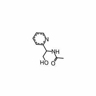 CC(=O)NC(CO)c1ccccn1